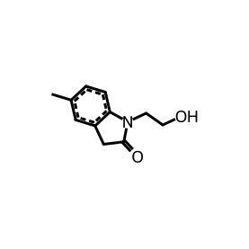 Cc1ccc2c(c1)CC(=O)N2CCO